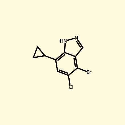 Clc1cc(C2CC2)c2[nH]ncc2c1Br